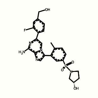 Cc1ccc(S(=O)(=O)N2CC[C@H](O)C2)cc1-c1cnc2c(N)nc(-c3ccc(CO)cc3F)cn12